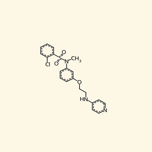 CN(c1cccc(OCCNc2ccncc2)c1)S(=O)(=O)c1ccccc1Cl